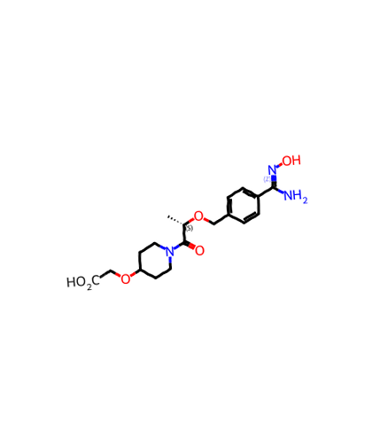 C[C@H](OCc1ccc(/C(N)=N/O)cc1)C(=O)N1CCC(OCC(=O)O)CC1